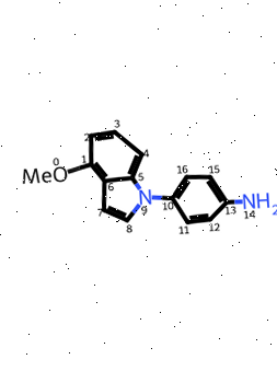 COc1cccc2c1ccn2-c1ccc(N)cc1